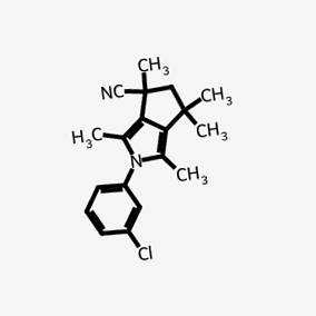 Cc1c2c(c(C)n1-c1cccc(Cl)c1)C(C)(C#N)CC2(C)C